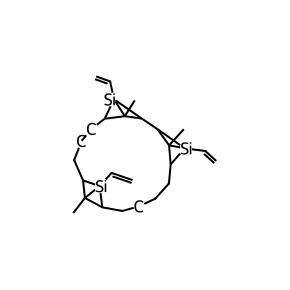 C=C[Si]12C3CCCCC4C5(C)C(C6C7(C)C(CCCC1C32C)[Si]67C=C)[Si]45C=C